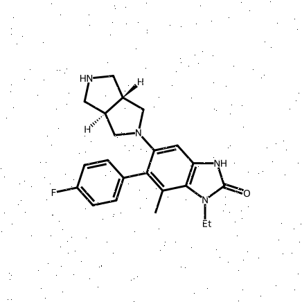 CCn1c(=O)[nH]c2cc(N3C[C@H]4CNC[C@@H]4C3)c(-c3ccc(F)cc3)c(C)c21